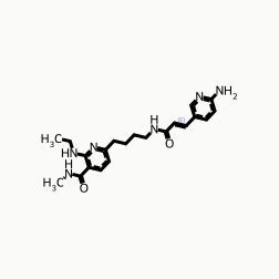 CCNc1nc(CCCCNC(=O)/C=C/c2ccc(N)nc2)ccc1C(=O)NC